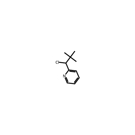 CC(C)(C)C(Cl)c1ccccn1